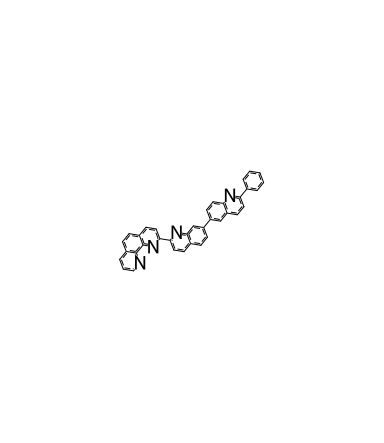 c1ccc(-c2ccc3cc(-c4ccc5ccc(-c6ccc7ccc8cccnc8c7n6)nc5c4)ccc3n2)cc1